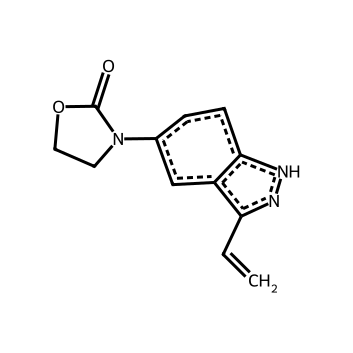 C=Cc1n[nH]c2ccc(N3CCOC3=O)cc12